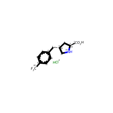 Cl.O=C(O)[C@@H]1C[C@@H](Cc2ccc(C(F)(F)F)cc2)CN1